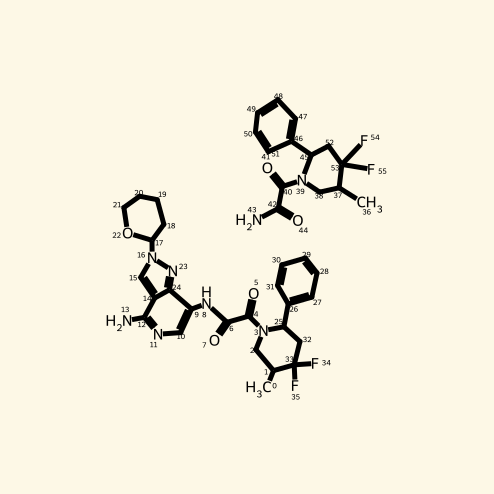 CC1CN(C(=O)C(=O)Nc2cnc(N)c3cn(C4CCCCO4)nc23)C(c2ccccc2)CC1(F)F.CC1CN(C(=O)C(N)=O)C(c2ccccc2)CC1(F)F